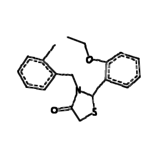 CCOc1ccccc1C1SCC(=O)N1Cc1ccccc1C